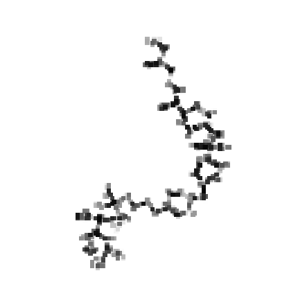 COC(=O)CCNC(=O)c1cnc(NS(=O)(=O)c2ccc(Oc3ccc(CCCCC(C)(C)CC(C)(C)C(=O)OC(C)(C)C)cc3)cc2)nc1